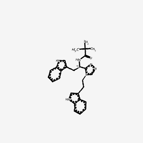 CC(C)(N)C(=O)N[C@H](Cc1c[nH]c2ccccc12)c1nncn1CCc1c[nH]c2ccccc12